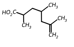 C=C(C)CC(C)CC(C)C(=O)O